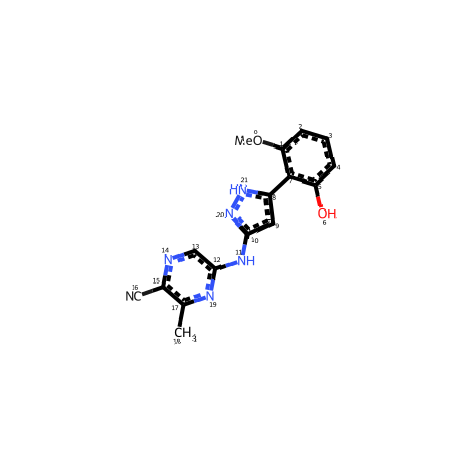 COc1cccc(O)c1-c1cc(Nc2cnc(C#N)c(C)n2)n[nH]1